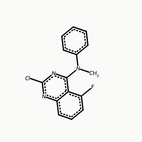 CN(c1ccccc1)c1nc(Cl)nc2cccc(F)c12